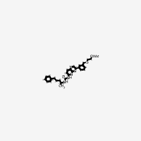 COCCOCc1cccc(-c2cnc3ccc(NC(=O)NC(C)CCCc4ccccc4)nc3n2)c1